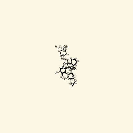 C[C@H]1c2c(cc(F)c(Cl)c2-c2c(C(N)=O)cc3c(c2F)C2CC2O3)O[C@]1(CN[C@H]1CC[C@](C)(O)CC1)c1ccccc1